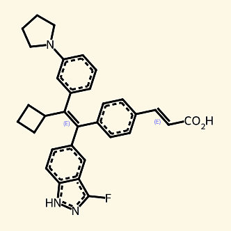 O=C(O)/C=C/c1ccc(/C(=C(\c2cccc(N3CCCC3)c2)C2CCC2)c2ccc3[nH]nc(F)c3c2)cc1